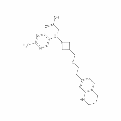 Cc1ncc([C@H](CC(=O)O)N2CC(COCCc3ccc4c(n3)NCCC4)C2)cn1